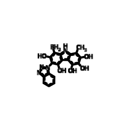 Bc1c(O)c(-n2nnc3ccccc32)c(O)c2c1[nH]c1c(C)c(O)c(O)c(O)c12